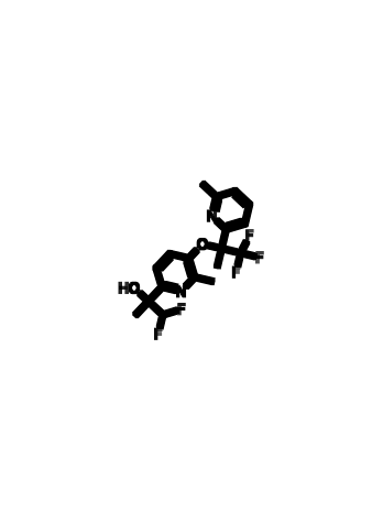 Cc1cccc(C(C)(Oc2ccc(C(C)(O)C(F)F)nc2C)C(F)(F)F)n1